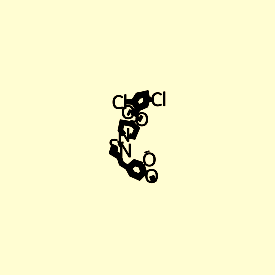 COc1ccc(Cc2csc(N3CCC(S(=O)(=O)c4cc(Cl)ccc4Cl)CC3)n2)cc1OC